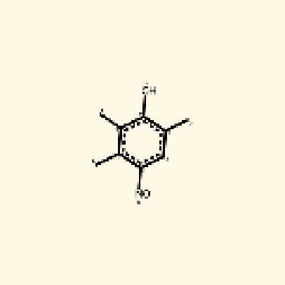 Cc1cc(N=O)c(C)c(C)c1O